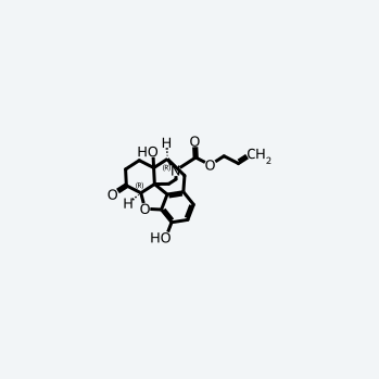 C=CCOC(=O)N1CCC23c4c5ccc(O)c4O[C@H]2C(=O)CCC3(O)[C@H]1C5